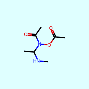 CNC(C)N(OC(C)=O)C(C)=O